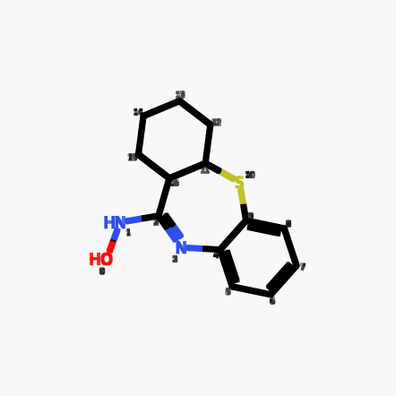 ONC1=Nc2ccccc2SC2CCCCC12